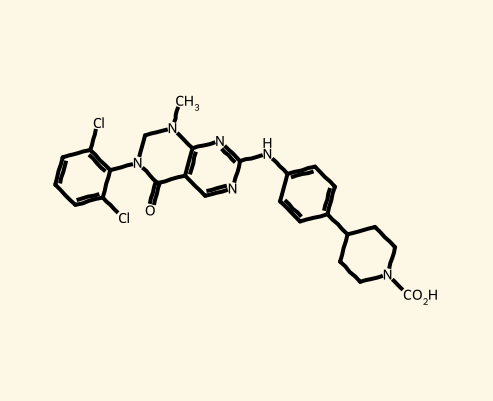 CN1CN(c2c(Cl)cccc2Cl)C(=O)c2cnc(Nc3ccc(C4CCN(C(=O)O)CC4)cc3)nc21